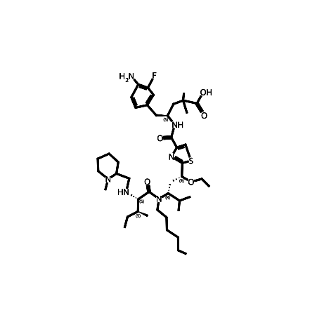 CCCCCCN(C(=O)[C@@H](NCC1CCCCN1C)[C@@H](C)CC)[C@H](C[C@@H](OCC)c1nc(C(=O)N[C@@H](Cc2ccc(N)c(F)c2)CC(C)(C)C(=O)O)cs1)C(C)C